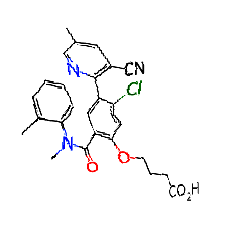 Cc1cnc(-c2cc(C(=O)N(C)c3ccccc3C)c(OCCCC(=O)O)cc2Cl)c(C#N)c1